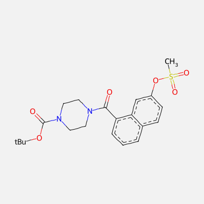 CC(C)(C)OC(=O)N1CCN(C(=O)c2cccc3ccc(OS(C)(=O)=O)cc23)CC1